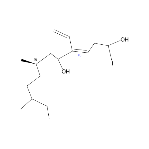 C=C/C(=C\CC(O)I)C(O)C[C@H](C)CCC(C)CC